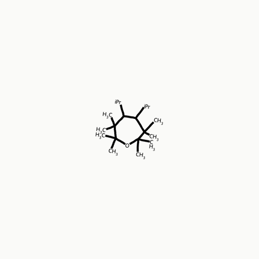 CC(C)C1C(C(C)C)C(C)(C)C(C)(C)OC(C)(C)C1(C)C